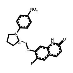 O=c1ccc2cc(F)c(OC[C@@H]3CCCN3c3ccc([N+](=O)[O-])cc3)cc2[nH]1